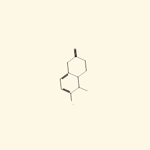 O=C1CCC2C(=CC=C(Br)C2F)C1